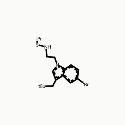 CC(C)SNCCn1cc(CC(C)(C)C)c2cc(Br)ccc21